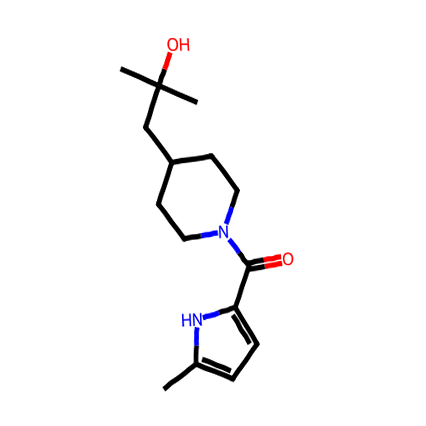 Cc1ccc(C(=O)N2CCC(CC(C)(C)O)CC2)[nH]1